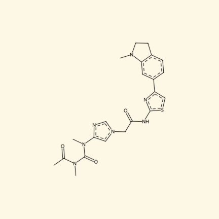 CC(=O)N(C)C(=O)N(C)c1cn(CC(=O)Nc2nc(-c3ccc4c(c3)N(C)CC4)cs2)cn1